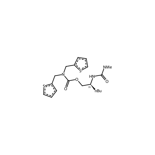 CCCC[C@@H](COC(=O)N(Cc1cccs1)Cc1cccs1)NC(=O)NC